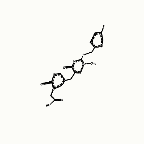 Cn1cc(Cc2cnc(=O)n(CC(=O)O)c2)c(=O)nc1SCc1ccc(F)cc1